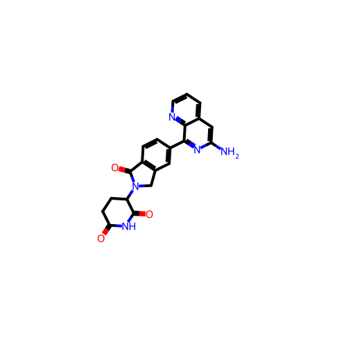 Nc1cc2cccnc2c(-c2ccc3c(c2)CN(C2CCC(=O)NC2=O)C3=O)n1